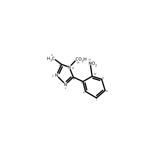 Cc1nnc(-c2ccccc2[N+](=O)[O-])n1C(=O)O